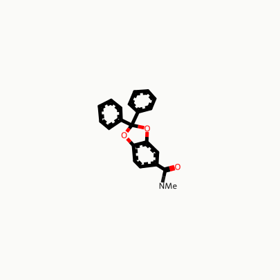 CNC(=O)c1ccc2c(c1)OC(c1ccccc1)(c1ccccc1)O2